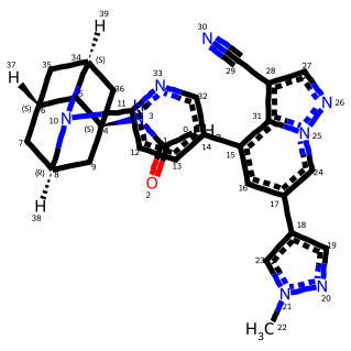 CC(=O)N[C@]12C[C@@H]3C[C@H](C1)N(c1ccc(-c4cc(-c5cnn(C)c5)cn5ncc(C#N)c45)cn1)[C@@H](C3)C2